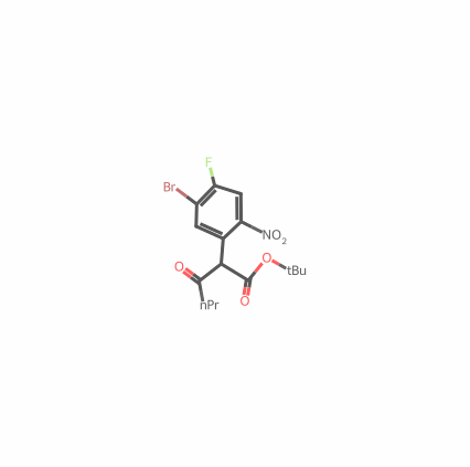 CCCC(=O)C(C(=O)OC(C)(C)C)c1cc(Br)c(F)cc1[N+](=O)[O-]